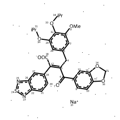 COc1cc(C/C(C(=O)c2ccc3c(c2)OCO3)=C(\C(=O)[O-])c2ccc3nsnc3c2)cc(OC(C)C)c1OC(C)C.[Na+]